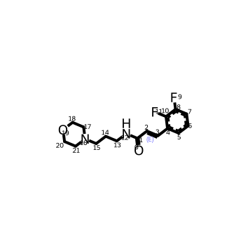 O=C(/C=C/c1cccc(F)c1F)NCCCN1CCOCC1